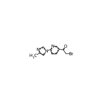 Cc1cn(-c2ccc(C(=O)CBr)cn2)cn1